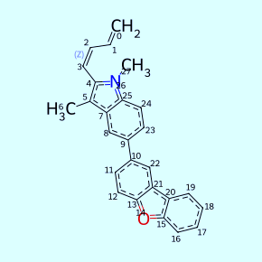 C=C/C=C\c1c(C)c2cc(-c3ccc4oc5ccccc5c4c3)ccc2n1C